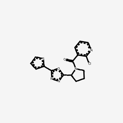 O=C(c1cccnc1Cl)N1CCCC1c1nnc(-c2cccs2)o1